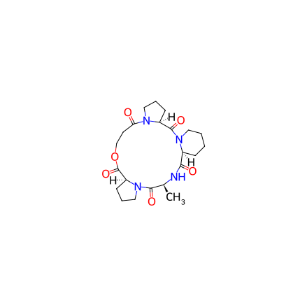 C[C@@H]1NC(=O)[C@@H]2CCCCN2C(=O)[C@@H]2CCCN2C(=O)CCOC(=O)[C@@H]2CCCN2C1=O